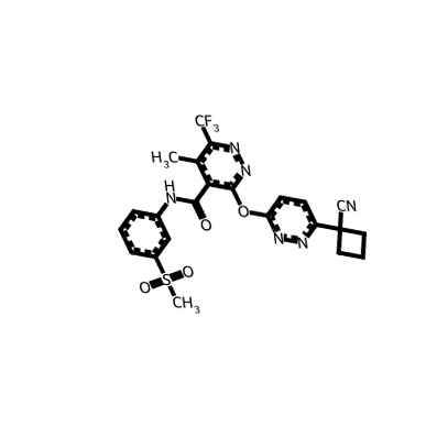 Cc1c(C(F)(F)F)nnc(Oc2ccc(C3(C#N)CCC3)nn2)c1C(=O)Nc1cccc(S(C)(=O)=O)c1